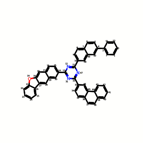 c1ccc(-c2ccc3ccc(-c4nc(-c5ccc6cc7oc8ccccc8c7cc6c5)nc(-c5ccc6ccc7ccccc7c6c5)n4)cc3c2)cc1